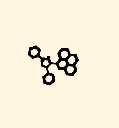 c1ccc(C2CN(c3ccccc3)N=C2c2cc3cccc4ccc5cccc2c5c43)cc1